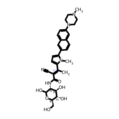 C/C(=C(/C#N)C(=O)N[C@H]1C(O)O[C@H](CO)[C@@H](O)[C@@H]1O)c1ccc(-c2ccc3cc(N4CCN(C)CC4)ccc3c2)n1C